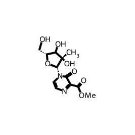 COC(=O)c1nccn([C@@H]2O[C@H](CO)C(O)[C@]2(C)O)c1=O